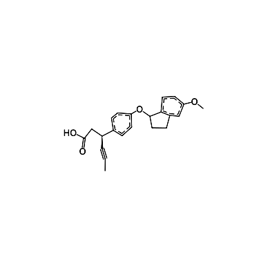 CC#C[C@@H](CC(=O)O)c1ccc(OC2CCc3cc(OC)ccc32)cc1